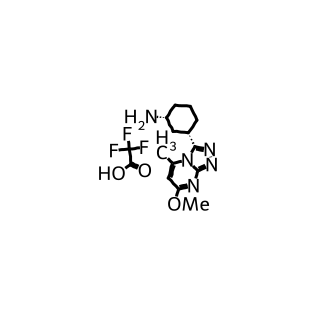 COc1cc(C)n2c([C@H]3CCC[C@@H](N)C3)nnc2n1.O=C(O)C(F)(F)F